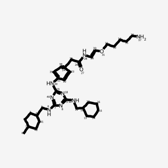 CC1CCC(CNc2nc(NCC3CCCCC3)nc(Nc3ccc(CC(=O)N/C=C/OCCCCCN)cc3)n2)CC1